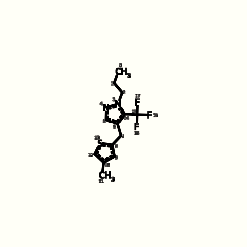 CCCn1ncc(Cc2cc(C)cs2)c1C(F)(F)F